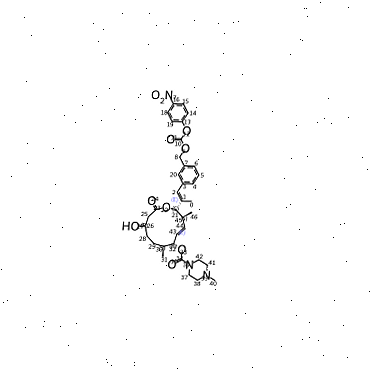 C/C(=C\c1cccc(COC(=O)Oc2ccc([N+](=O)[O-])cc2)c1)[C@H]1OC(=O)C[C@H](O)CC[C@H](C)[C@@H](OC(=O)N2CCN(C)CC2)/C=C/[C@@H]1C